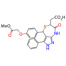 COC(=O)COc1ccc(C2SC(CC(=O)O)C(=O)Nc3n[nH]c(-c4ccccc4)c32)cc1